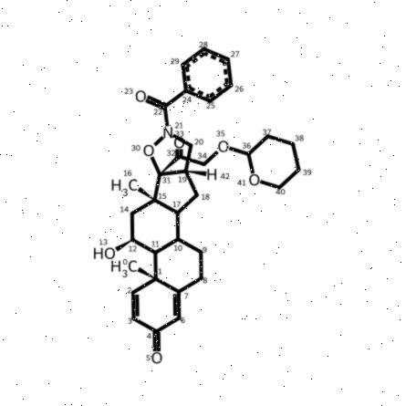 C[C@]12C=CC(=O)C=C1CCC1C2[C@@H](O)C[C@@]2(C)C1C[C@H]1CN(C(=O)c3ccccc3)O[C@]12C(=O)COC1CCCCO1